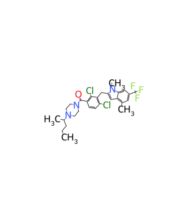 CCCC(C)N1CCN(C(=O)c2ccc(Cl)c(Cc3cc4c(C)cc(C(F)(F)F)cc4n3C)c2Cl)CC1